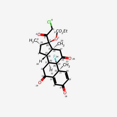 CCOC(=O)O[C@]1(C(=O)CCl)[C@@H](C)C[C@H]2[C@@H]3CC(=O)C4=CC(=O)C=C[C@]4(C)[C@@]3(F)C(=O)C[C@@]21C